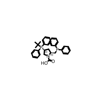 CC(C)(C)[P](c1ccccc1)(c1ccccc1)[C@H]1C[C@@H](CP(c2ccccc2)c2ccccc2)N(C(=O)O)C1